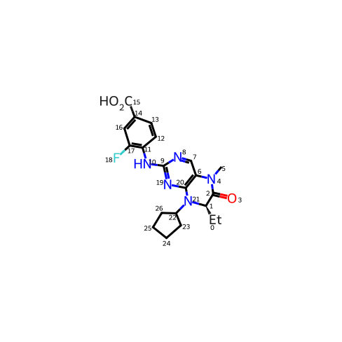 CC[C@@H]1C(=O)N(C)c2cnc(Nc3ccc(C(=O)O)cc3F)nc2N1C1CCCC1